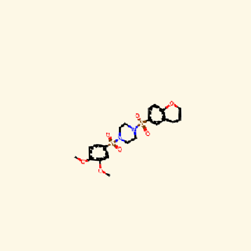 COc1ccc(S(=O)(=O)N2CCN(S(=O)(=O)c3ccc4c(c3)CCCO4)CC2)cc1OC